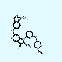 CN1CCC(Oc2cccc(-n3c4nc(Nc5ccc6c(cnn6C)c5)ncc4c(=O)n3C)n2)CC1